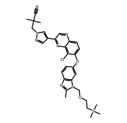 Cc1nc2ccc(Oc3ccc4ncc(-c5cnn(CC(C)(C)C#N)c5)nc4c3Cl)cc2n1COCC[Si](C)(C)C